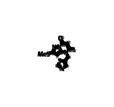 CSc1cc2n(Cc3cncs3)c(C)cc(=O)n2n1